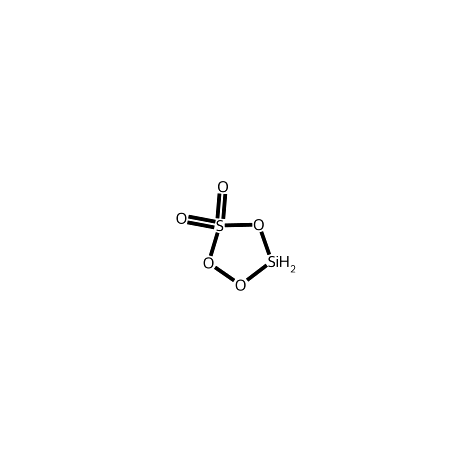 O=S1(=O)OO[SiH2]O1